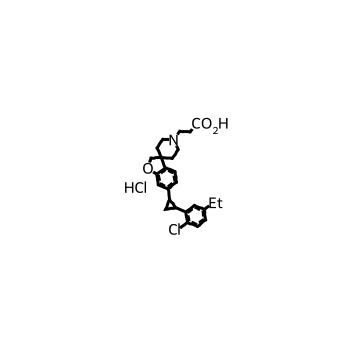 CCc1ccc(Cl)c(C2CC2c2ccc3c(c2)OCC32CCN(CCC(=O)O)CC2)c1.Cl